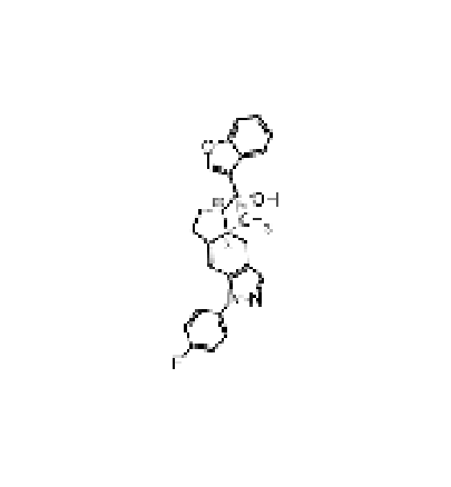 C[C@]12Cc3cnn(-c4ccc(F)cc4)c3C=C1CC[C@@H]2[C@@H](O)c1coc2ccccc12